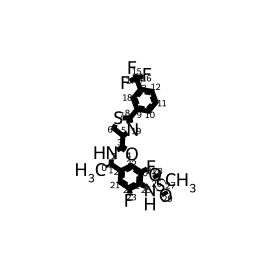 C[C@@H](NC(=O)C1CSC(c2cccc(C(F)(F)F)c2)=N1)c1cc(F)c(NS(C)(=O)=O)c(F)c1